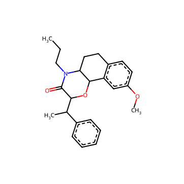 CCCN1C(=O)C(C(C)c2ccccc2)OC2c3cc(OC)ccc3CCC21